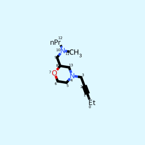 CCC#CCN1CCOC(CN(C)CCC)C1